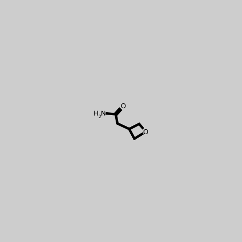 NC(=O)CC1COC1